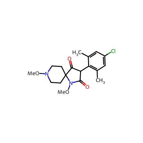 CON1CCC2(CC1)C(=O)C(c1c(C)cc(Cl)cc1C)C(=O)N2OC